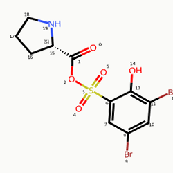 O=C(OS(=O)(=O)c1cc(Br)cc(Br)c1O)[C@@H]1CCCN1